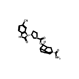 N#Cc1ccc2[nH]c(=O)n([C@@H]3CCN(C(=O)O[C@H]4C5CC6CC4C[C@](C(N)=O)(C6)C5)C3)c2c1